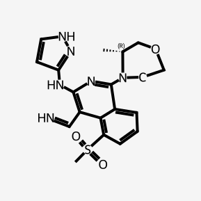 C[C@@H]1COCCN1c1nc(Nc2cc[nH]n2)c(C=N)c2c(S(C)(=O)=O)cccc12